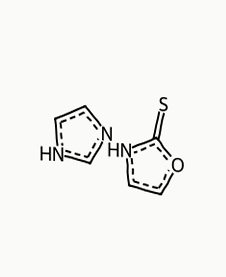 S=c1[nH]cco1.c1c[nH]cn1